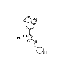 Cl.Cl.O=C(/C=C/C1=Cc2cnc3cccc(n23)S1)NCC1CCNCC1